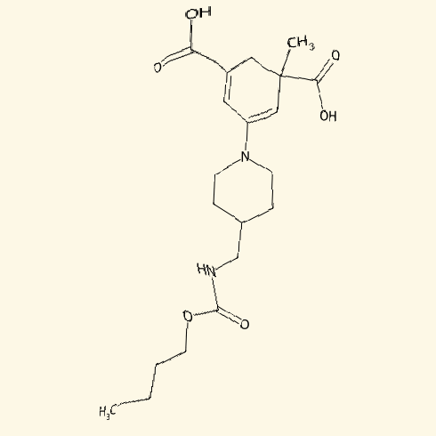 CCCCOC(=O)NCC1CCN(C2=CC(C)(C(=O)O)CC(C(=O)O)=C2)CC1